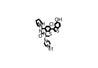 CCN1CCN(C[C@H]2CSc3c(-c4csc5ccc(O)cc45)c(Cl)cc4c(N5CC6CCC(C5)N6)nc(=O)n2c34)CC1